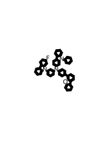 Fc1ccc2c3ccccc3n(-c3cccc(N(c4ccc(-c5cccc6c5oc5ccccc56)cc4)c4ccc5c6ccccc6n(-c6ccccc6)c5c4)c3)c2c1